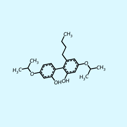 CCCCc1cc(OC(C)C)cc(O)c1-c1ccc(OC(C)C)cc1O